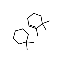 CC1(C)CCCCC1.CC1=CCCCC1(C)C